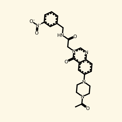 CC(=O)N1CCN(c2ccc3ncn(CC(=O)NCc4cccc([N+](=O)[O-])c4)c(=O)c3c2)CC1